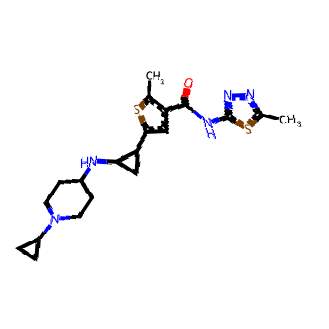 Cc1nnc(NC(=O)c2cc(C3CC3NC3CCN(C4CC4)CC3)sc2C)s1